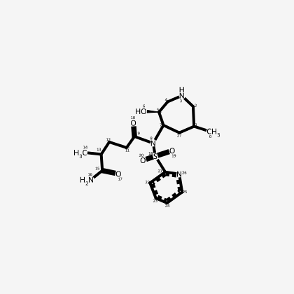 CC1CNC[C@H](O)C(N(C(=O)[CH]CC(C)C(N)=O)S(=O)(=O)c2ccccn2)C1